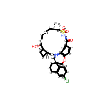 C[C@H]1CCCC[C@H](O)[C@@H]2CC[C@H]2CN2C[C@@]3(CCCc4cc(Cl)ccc43)COc3ccc(cc32)C(=O)NS(=O)(=O)[C@H]1C